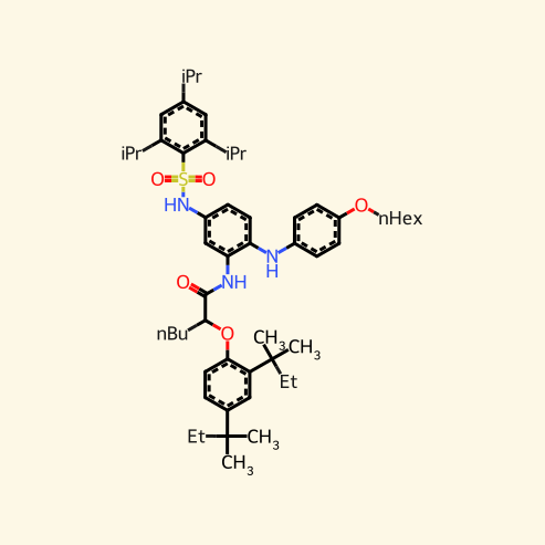 CCCCCCOc1ccc(Nc2ccc(NS(=O)(=O)c3c(C(C)C)cc(C(C)C)cc3C(C)C)cc2NC(=O)C(CCCC)Oc2ccc(C(C)(C)CC)cc2C(C)(C)CC)cc1